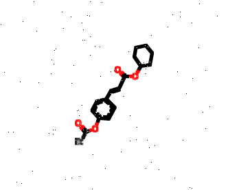 CCC(=O)Oc1ccc(/C=C/C(=O)OC2CCCCC2)cc1